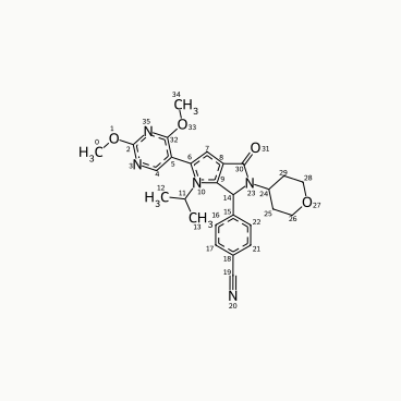 COc1ncc(-c2cc3c(n2C(C)C)C(c2ccc(C#N)cc2)N(C2CCOCC2)C3=O)c(OC)n1